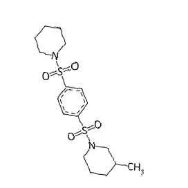 CC1CCCN(S(=O)(=O)c2ccc(S(=O)(=O)N3CCCCC3)cc2)C1